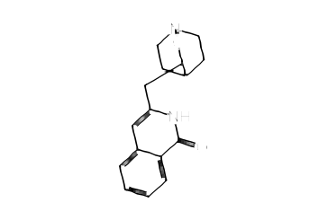 O=c1[nH]c(CC2CN3CCC2CC3)cc2ccccc12